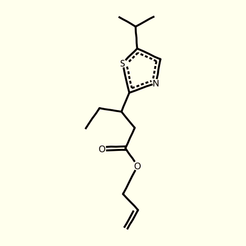 C=CCOC(=O)CC(CC)c1ncc(C(C)C)s1